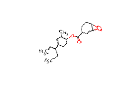 CCC(CC)C1=CC(C)=C(OC(=O)C2CCC3OC3C2)CC1